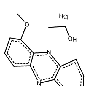 CCO.COc1cccc2nc3ccccc3nc12.Cl